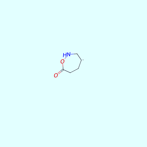 O=C1CC[CH]CNO1